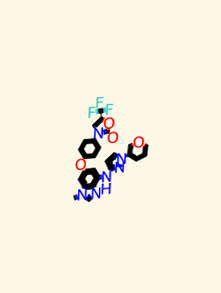 Cn1cnc2c(Nc3ccn([C@@H]4CCCOC4)n3)cc(O[C@H]3CC[C@@H](N4C[C@H](C(F)(F)F)OC4=O)CC3)cc21